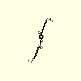 CCCCCCCCCC(=O)OCCOc1ccc(C(=O)CCCCCCCCC)cc1